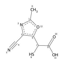 Cc1nc(C#N)c(C(S)C(=O)O)o1